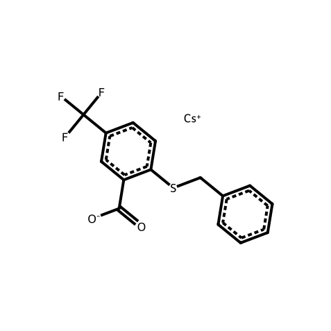 O=C([O-])c1cc(C(F)(F)F)ccc1SCc1ccccc1.[Cs+]